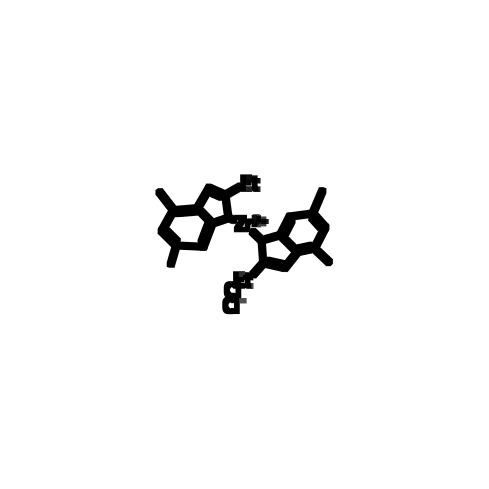 CCC1=Cc2c(C)cc(C)cc2[CH]1[Zr+2][CH]1C(CC)=Cc2c(C)cc(C)cc21.[Cl-].[Cl-]